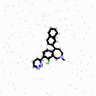 CN1CCC(c2ccc3ccccc3c2)c2ccc(-c3cccnn3)c(F)c2C1